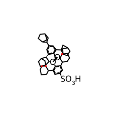 O=C(Oc1c(C2CCCCC2)cc(S(=O)(=O)O)cc1C1CCCCC1)c1c(C2CC3CCC2C3)cc(C2CC3CCC2C3)cc1[C@H]1CC2CCC1C2